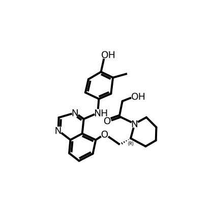 Cc1cc(Nc2ncnc3cccc(OC[C@H]4CCCCN4C(=O)CO)c23)ccc1O